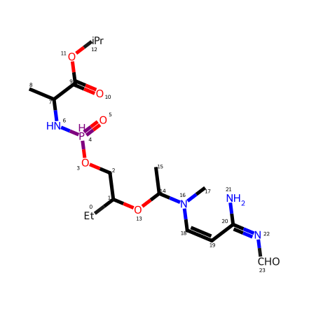 CCC(CO[PH](=O)NC(C)C(=O)OC(C)C)OC(C)N(C)/C=C\C(N)=N/C=O